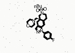 CCCCS(=O)(=O)N1CCC2=Cc3c(cnn3-c3ccc(F)cc3)C[C@]2(CN2CCOCC2)C1